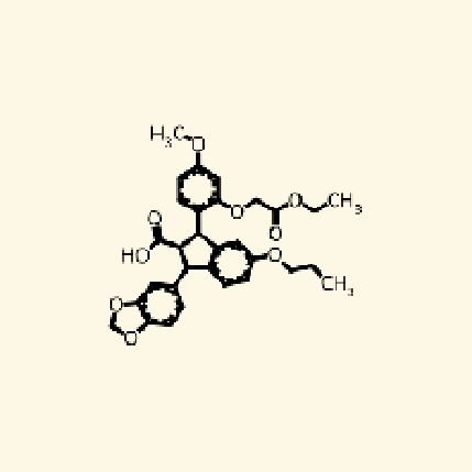 CCCOc1ccc2c(c1)C(c1ccc(OC)cc1OCC(=O)OCC)C(C(=O)O)C2c1ccc2c(c1)OCO2